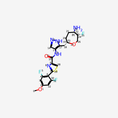 COc1cc(F)c(-c2nc(C(=O)Nc3cn[nH]c3C[C@@H]3CC[C@@H](N)[C@H](F)CO3)cs2)c(F)c1